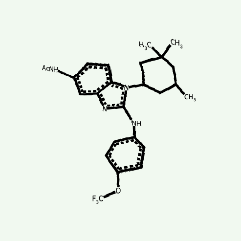 CC(=O)Nc1ccc2c(c1)nc(Nc1ccc(OC(F)(F)F)cc1)n2C1CC(C)CC(C)(C)C1